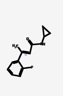 C/C(=C\C(=O)NC1CC1)c1ccccc1F